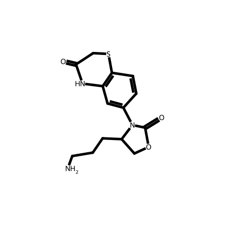 NCCCC1COC(=O)N1c1ccc2c(c1)NC(=O)CS2